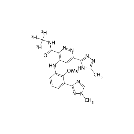 [2H]C([2H])([2H])NC(=O)c1nnc(-c2nnc(C)[nH]2)cc1Nc1cccc(-c2ncn(C)n2)c1OC